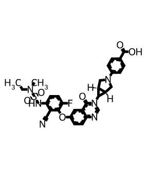 CCN(C)S(=O)(=O)Nc1ccc(F)c(Oc2ccc3ncn(C4[C@H]5CN(c6ccc(C(=O)O)cc6)C[C@@H]45)c(=O)c3c2)c1C#N